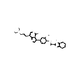 CCN(CC)C/C=C/c1cnc(N)c2c(-c3ccc(NC(=O)c4nc5ccccc5n4C)c(OC)c3)csc12